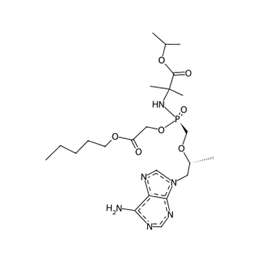 CCCCCOC(=O)CO[P@](=O)(CO[C@H](C)Cn1cnc2c(N)ncnc21)NC(C)(C)C(=O)OC(C)C